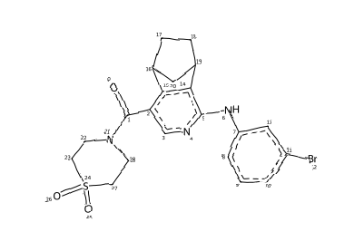 O=C(c1cnc(Nc2cccc(Br)c2)c2c1C1CCC2C1)N1CCS(=O)(=O)CC1